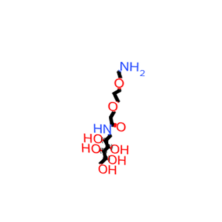 NCCOCCCOCCC(=O)NC[C@H](O)[C@@H](O)[C@H](O)[C@H](O)CO